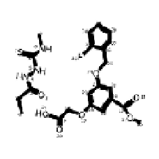 CCC(=O)NNC(=S)NC.COC(=O)c1cc(OCC(=O)O)cc(OCc2ccccc2F)c1